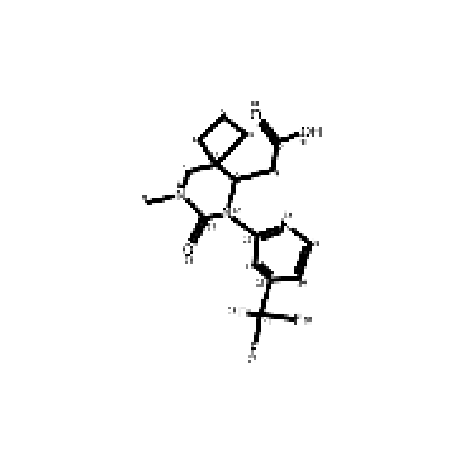 CN1CC2(CCC2)C(CC(=O)O)N(c2cc(C(F)(F)F)ccn2)C1=O